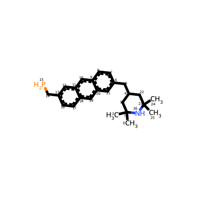 CC1(C)CC(Cc2ccc3cc4cc(CP)ccc4cc3c2)CC(C)(C)N1